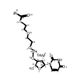 CC[C@H]1O[C@@H](n2ccc(=O)[nH]c2=O)[C@@H](OC)C1OPOCCOCCSC(=O)C(C)C